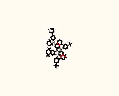 CC(C)(C)c1ccc(N2c3ccc(N4c5ccc(-c6cccnc6)cc5C5(C)CCCCC45C)cc3B3c4cc5c(cc4N(c4ccc(C(C)(C)C)cc4-c4ccccc4)c4cc(C(C)(C)C)cc2c43)C(C)(C)CCC5(C)C)c(-c2ccccc2)c1